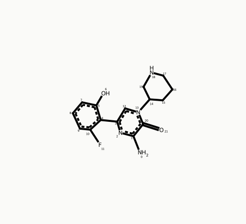 Nc1nc(-c2c(O)cccc2F)cn(C2CCCNC2)c1=O